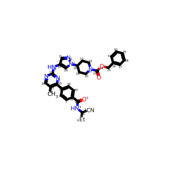 CCC(C#N)NC(=O)c1ccc(-c2nc(Nc3cnn(C4CCN(C(=O)OCc5ccccc5)CC4)c3)ncc2C)cc1